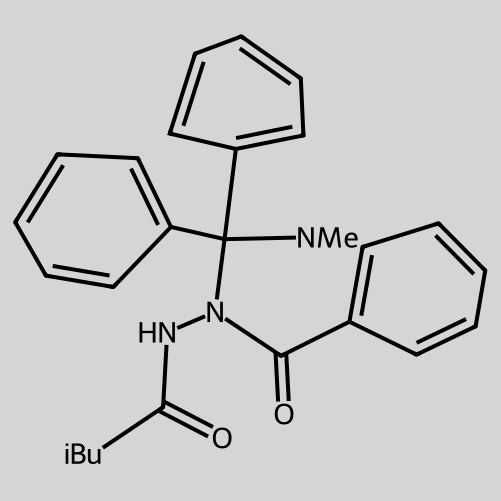 [CH2]NC(c1ccccc1)(c1ccccc1)N(NC(=O)C(C)CC)C(=O)c1ccccc1